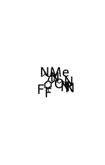 CNC(C)c1cnc(OCc2ncn(C)n2)c2cc(F)c(F)cc12